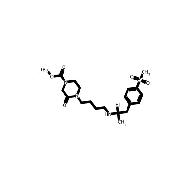 CCC(C)(Cc1ccc(S(C)(=O)=O)cc1)NCCCCN1CCN(C(=O)OC(C)(C)C)CC1=O